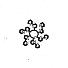 c1ccc(-c2cccc(C3CC(c4cccc(-c5ccccn5)n4)CC(c4cccc(-c5ccccn5)n4)CC(c4cccc(-c5ccccn5)n4)CC(c4cccc(-c5ccccn5)n4)CC(c4cccc(-c5ccccn5)n4)C3)n2)nc1